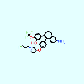 Nc1ccc2c(c1)CCCC(c1ccc(OC(F)(F)F)c(O)c1)=C2c1ccc(OC2CCN(CCCF)C2)cc1